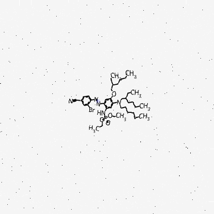 CCCCCCN(CC(CC)CCCC)c1cc(NP(=O)(OCC)OCC)c(/N=N/c2ccc(C#N)cc2Br)cc1OCC(CC)CCCC